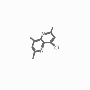 Cc1cc(Cl)c2nc(C)cc(C)c2n1